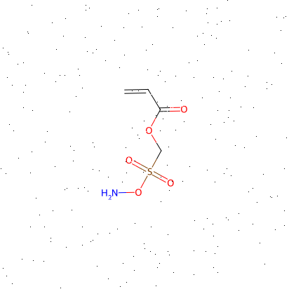 C=CC(=O)OCS(=O)(=O)ON